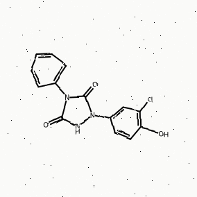 O=c1[nH]n(-c2ccc(O)c(Cl)c2)c(=O)n1-c1ccccc1